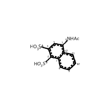 CC(=O)Nc1cc(S(=O)(=O)O)c(S(=O)(=O)O)c2ccccc12